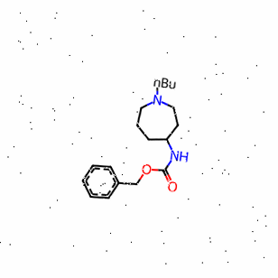 CCCCN1CCCC(NC(=O)OCc2ccccc2)CC1